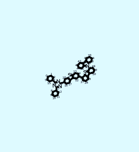 c1ccc(-c2nc(-c3ccccc3)nc(-c3ccc4c(c3)sc3ccc(-c5cccc6c5sc5c(-n7c8ccccc8c8ccccc87)cccc56)cc34)n2)cc1